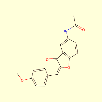 COc1ccc(C=C2Oc3ccc(NC(C)=O)cc3C2=O)cc1